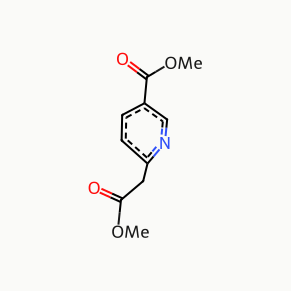 COC(=O)Cc1ccc(C(=O)OC)cn1